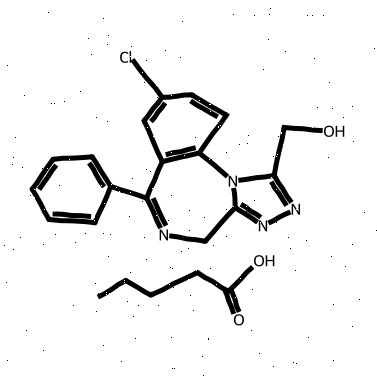 CCCCC(=O)O.OCc1nnc2n1-c1ccc(Cl)cc1C(c1ccccc1)=NC2